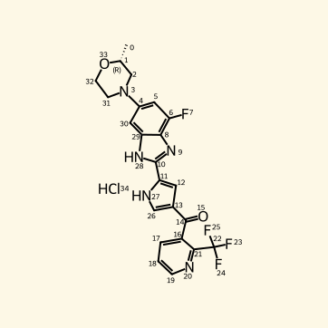 C[C@@H]1CN(c2cc(F)c3nc(-c4cc(C(=O)c5cccnc5C(F)(F)F)c[nH]4)[nH]c3c2)CCO1.Cl